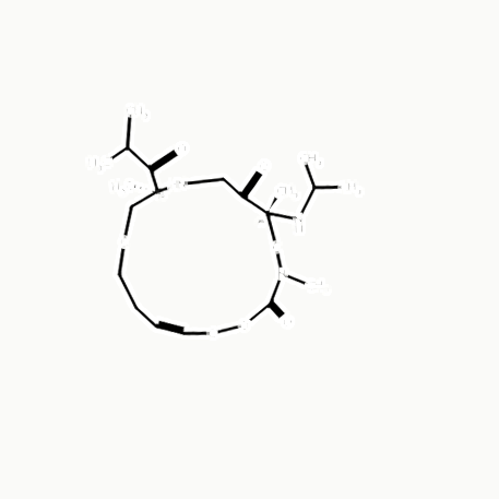 CC(C)N[C@]1(C)CN(C)C(=O)OCC=CCCCC[C@@](C)(C(=O)C(C)C)NCC1=O